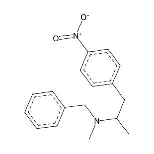 CC(Cc1ccc([N+](=O)[O-])cc1)N(C)Cc1ccccc1